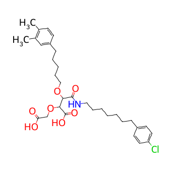 Cc1ccc(CCCCCOC(C(=O)NCCCCCCCc2ccc(Cl)cc2)C(OCC(=O)O)C(=O)O)cc1C